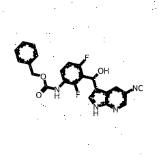 [C-]#[N+]c1cnc2[nH]cc(C(O)c3c(F)ccc(NC(=O)OCc4ccccc4)c3F)c2c1